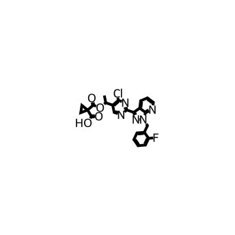 CC(OC(=O)C1(C(=O)O)CC1)c1cnc(-c2nn(Cc3ccccc3F)c3ncccc23)nc1Cl